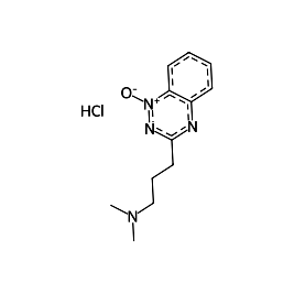 CN(C)CCCc1nc2ccccc2[n+]([O-])n1.Cl